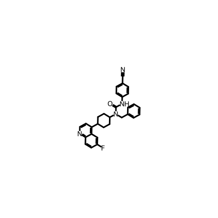 N#Cc1ccc(NC(=O)N(Cc2ccccc2)C2CCC(c3ccnc4ccc(F)cc34)CC2)cc1